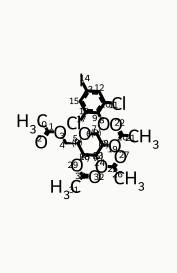 CC(=O)OC[C@H]1O[C@H](Oc2c(Cl)cc(I)cc2Cl)[C@@H](OC(C)=O)[C@@H](OC(C)=O)[C@@H]1OC(C)=O